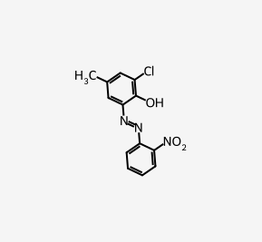 Cc1cc(Cl)c(O)c(/N=N/c2ccccc2[N+](=O)[O-])c1